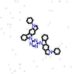 c1ccc(-n2ccc3cc4c(cc32)c2ccccc2n4-c2ncnc(-n3c4ccccc4c4cc5c(ccn5-c5ccccc5)cc43)n2)cc1